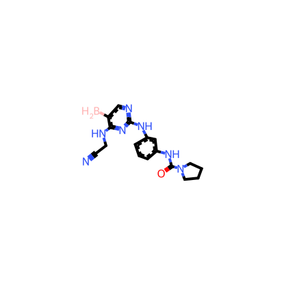 Bc1cnc(Nc2cccc(NC(=O)N3CCCC3)c2)nc1NCC#N